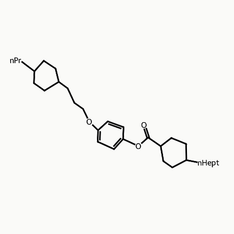 CCCCCCCC1CCC(C(=O)Oc2ccc(OCCCC3CCC(CCC)CC3)cc2)CC1